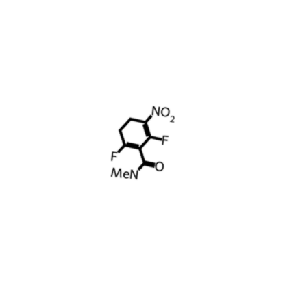 CNC(=O)C1=C(F)CCC([N+](=O)[O-])=C1F